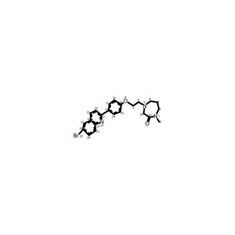 CN1CCCN(CCOc2ccc(-c3ccc4cc(Br)ccc4n3)cc2)CC1=O